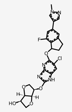 Cn1cc(-c2cc(F)c3c(c2)CCC3Oc2nc3nc(O[C@@H]4CO[C@H]5[C@@H]4OC[C@H]5O)[nH]c3cc2Cl)cn1